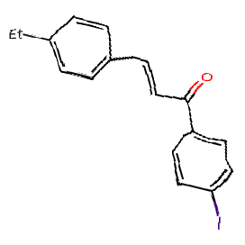 CCc1ccc(C=CC(=O)c2ccc(I)cc2)cc1